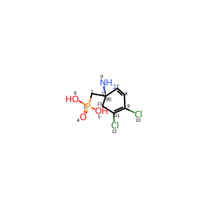 N[C@@]1(CP(=O)(O)O)C=CC(Cl)=C(Cl)C1